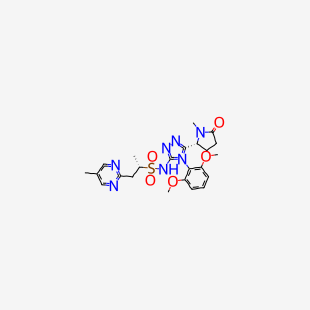 COc1cccc(OC)c1-n1c(NS(=O)(=O)[C@@H](C)Cc2ncc(C)cn2)nnc1[C@H]1CCC(=O)N1C